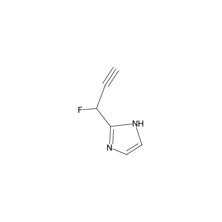 C#CC(F)c1ncc[nH]1